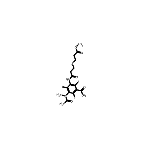 COC(=O)CCSCCC(=O)Nc1c(I)c(C(=O)O)c(I)c(N(C)C(C)=O)c1I